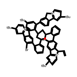 C=CC1c2cc(-c3ccccc3C3CC(c4ccc(C(C)(C)C)cc4-c4ccc5c(c4)C[n+]4ccc(C(C)(C)C)cc4-5)CC(c4ccccc4-c4cc5c(cc4Br)-c4cc(C(C)(C)C)cc[n+]4C5)C3)c(Br)cc2-c2cc(C(C)(C)C)cc[n+]21